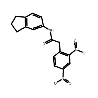 O=C(Cc1ccc([N+](=O)[O-])cc1[N+](=O)[O-])Nc1ccc2c(c1)CCC2